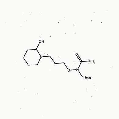 CCCCCCCN(OCCCN1CCCCC1O)C(N)=O